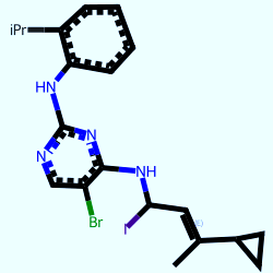 C/C(=C\C(I)Nc1nc(Nc2ccccc2C(C)C)ncc1Br)C1CC1